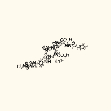 Cc1ccc(CCCC(=O)NCCCC[C@H](NC(=O)CN2CCN(CC(=O)O)CCN(CC(=O)Nc3ccc(-c4cn5nc(S(N)(=O)=O)sc5n4)cc3)CCN(CC(=O)O)CC2)C(=O)O)cc1.[In+3]